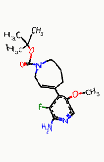 COc1cnc(N)c(F)c1C1=CCN(C(=O)OC(C)(C)C)CCC1